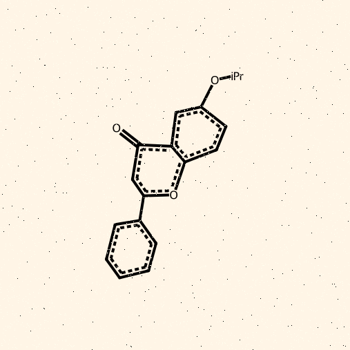 CC(C)Oc1ccc2oc(-c3ccccc3)cc(=O)c2c1